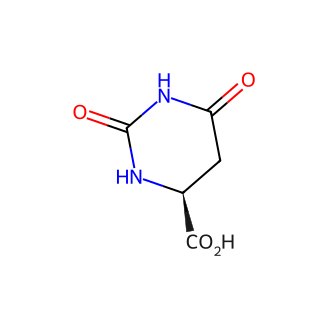 O=C1C[C@@H](C(=O)O)NC(=O)N1